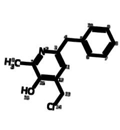 Cc1nc(Cc2ccccc2)cc(CCl)c1O